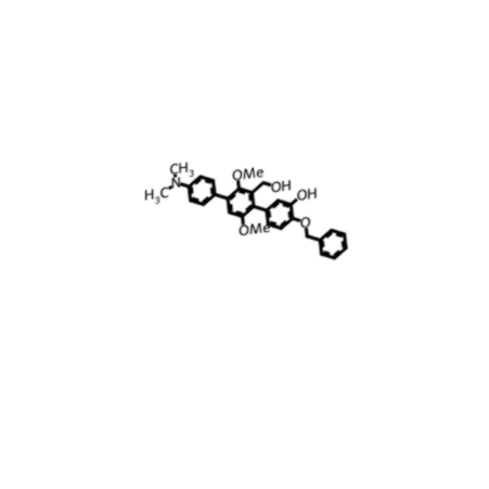 COc1cc(-c2ccc(N(C)C)cc2)c(OC)c(CO)c1-c1ccc(OCc2ccccc2)c(O)c1